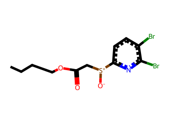 CCCCOC(=O)C[S+]([O-])c1ccc(Br)c(Br)n1